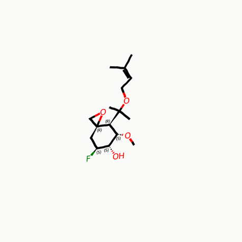 CO[C@@H]1[C@H](O)[C@@H](F)C[C@]2(CO2)[C@H]1C(C)(C)OCC=C(C)C